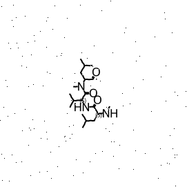 CN[C@@H](CC(C)C)C(=O)N[C@H](C(=O)N(C)C([C]=O)CC(C)C)C(C)C